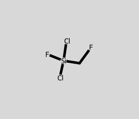 FC[Si](F)(Cl)Cl